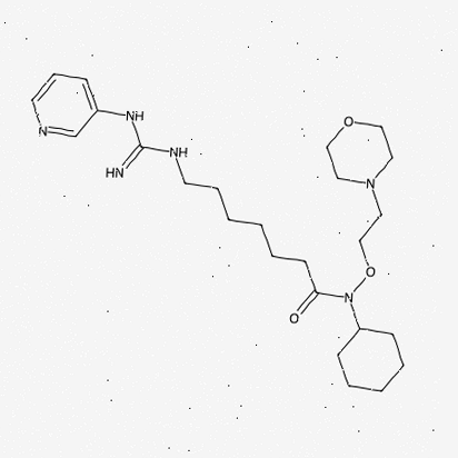 N=C(NCCCCCCC(=O)N(OCCN1CCOCC1)C1CCCCC1)Nc1cccnc1